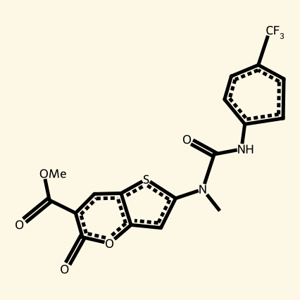 COC(=O)c1cc2sc(N(C)C(=O)Nc3ccc(C(F)(F)F)cc3)cc2oc1=O